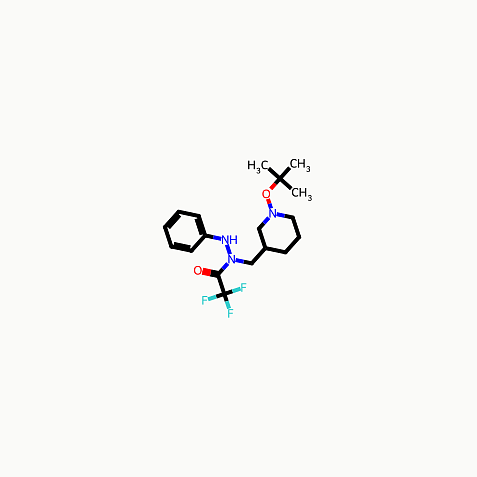 CC(C)(C)ON1CCCC(CN(Nc2ccccc2)C(=O)C(F)(F)F)C1